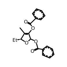 CC[C@@H]1OC(OC(=O)c2ccccc2)C(OC(=O)c2ccccc2)=C1C